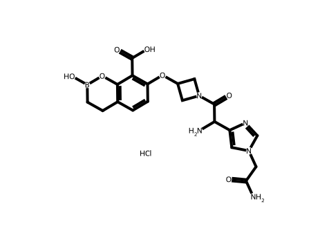 Cl.NC(=O)Cn1cnc(C(N)C(=O)N2CC(Oc3ccc4c(c3C(=O)O)OB(O)CC4)C2)c1